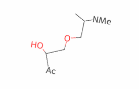 CNC(C)COCC(O)C(C)=O